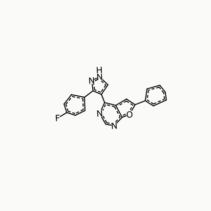 Fc1ccc(-c2n[nH]cc2-c2ncnc3oc(-c4ccccc4)cc23)cc1